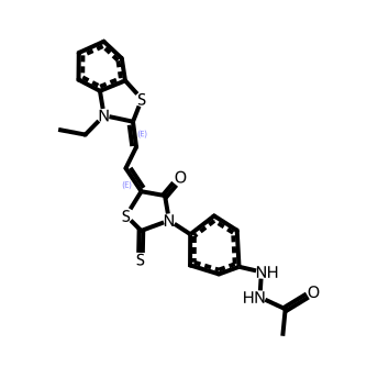 CCN1/C(=C\C=C2\SC(=S)N(c3ccc(NNC(C)=O)cc3)C2=O)Sc2ccccc21